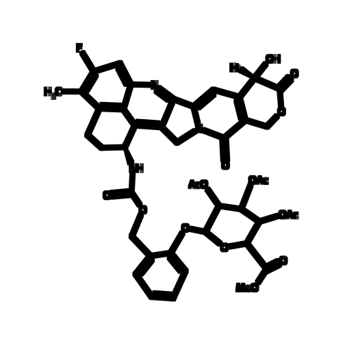 CC[C@@]1(O)C(=O)OCc2c1cc1n(c2=O)Cc2c-1nc1cc(F)c(C)c3c1c2[C@@H](NC(=O)OCc1ccccc1OC1OC(C(=O)OC)C(OC(C)=O)C(OC(C)=O)C1OC(C)=O)CC3